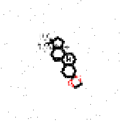 CC1(C)CC[C@H]2[C@@H]3CCC4=C(CCC5(C4)OCCO5)C3=CC[C@@]21C